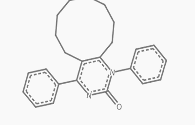 O=c1nc(-c2ccccc2)c2c(n1-c1ccccc1)CCCCCCCC2